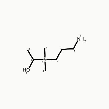 CC(O)S(C)(C)CCCN